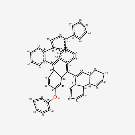 C1=CC2C(C3=c4ccccc4=C(c4ccccc4-c4ccc(-c5ccccc5)cc4)C4C=CC(Oc5ccccc5)=CC34)=CC3CCC=CC3C2C=C1